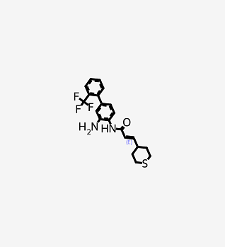 Nc1cc(-c2ccccc2C(F)(F)F)ccc1NC(=O)/C=C/C1CCSCC1